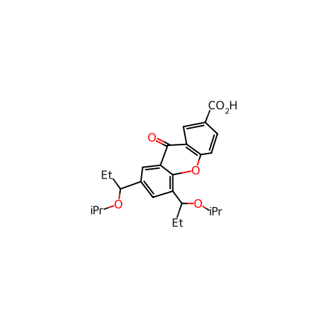 CCC(OC(C)C)c1cc(C(CC)OC(C)C)c2oc3ccc(C(=O)O)cc3c(=O)c2c1